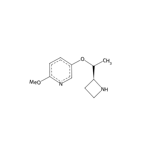 COc1ccc(OC(C)[C@@H]2CCN2)cn1